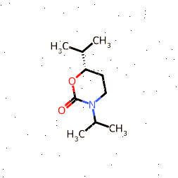 CC(C)[C@@H]1CCN(C(C)C)C(=O)O1